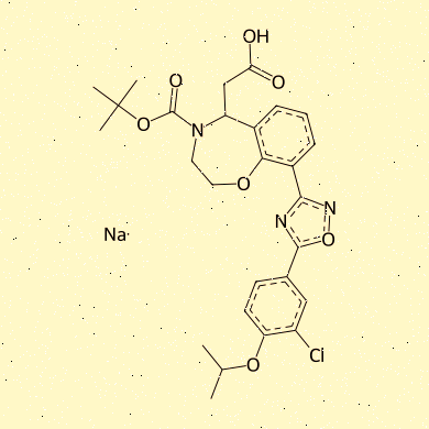 CC(C)Oc1ccc(-c2nc(-c3cccc4c3OCCN(C(=O)OC(C)(C)C)C4CC(=O)O)no2)cc1Cl.[Na]